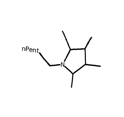 CCCCCCN1C(C)C(C)C(C)C1C